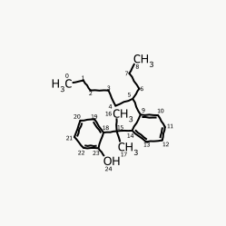 CCCCCC(CCC)c1ccccc1C(C)(C)c1ccccc1O